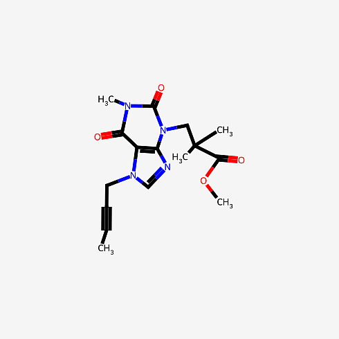 CC#CCn1cnc2c1c(=O)n(C)c(=O)n2CC(C)(C)C(=O)OC